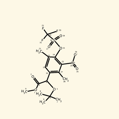 COC(=O)C(OC(C)(C)C)c1cc(C)c(OS(=O)(=O)C(F)(F)F)c([N+](=O)[O-])c1C